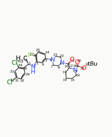 C[C@@H](Nc1cc(N2CCN(C(=O)C3CCCCN3C(=O)OC(C)(C)C)CC2)ccc1F)c1ccc(Cl)cc1Cl